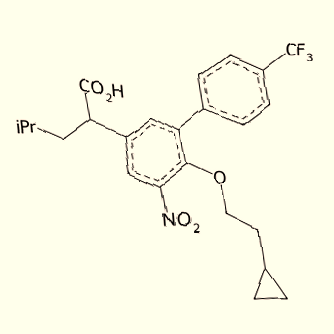 CC(C)CC(C(=O)O)c1cc(-c2ccc(C(F)(F)F)cc2)c(OCCC2CC2)c([N+](=O)[O-])c1